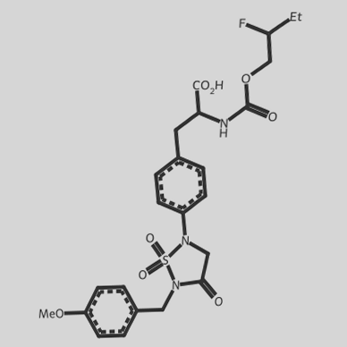 CCC(F)COC(=O)NC(Cc1ccc(N2CC(=O)N(Cc3ccc(OC)cc3)S2(=O)=O)cc1)C(=O)O